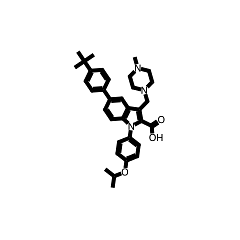 CC(C)Oc1ccc(-n2c(C(=O)O)c(CN3CCN(C)CC3)c3cc(-c4ccc(C(C)(C)C)cc4)ccc32)cc1